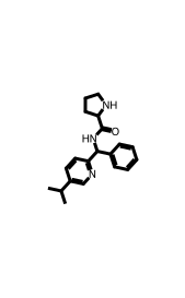 CC(C)c1ccc(C(NC(=O)C2CCCN2)c2ccccc2)nc1